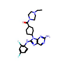 CCN1CCN(C(=O)C2CCC(n3c(Nc4ccc(F)cc4F)nc4cnc(N)nc43)CC2)CC1